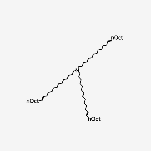 CCCCCCCCC=CCCCCCCCCCCCCN(CCCCCCCCCCCCC=CCCCCCCCC)CCCCCCCCCCCCC=CCCCCCCCC